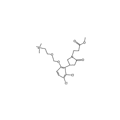 COC(=O)CCN1CC(c2c(OCOCC[Si](C)(C)C)ccc(Cl)c2Cl)CC1=O